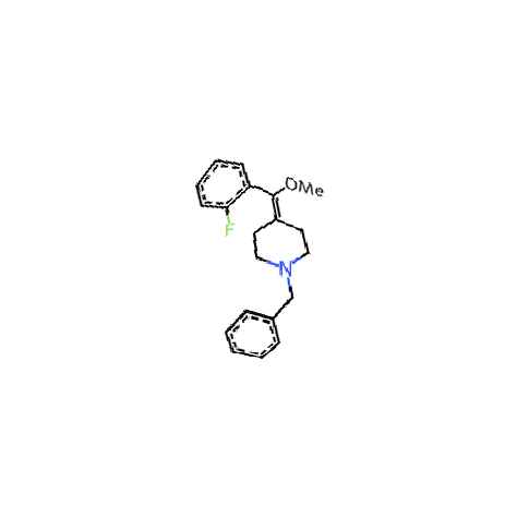 COC(=C1CCN(Cc2ccccc2)CC1)c1ccccc1F